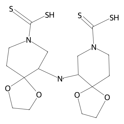 S=C(S)N1CCC2(OCCO2)C([N]C2CN(C(=S)S)CCC23OCCO3)C1